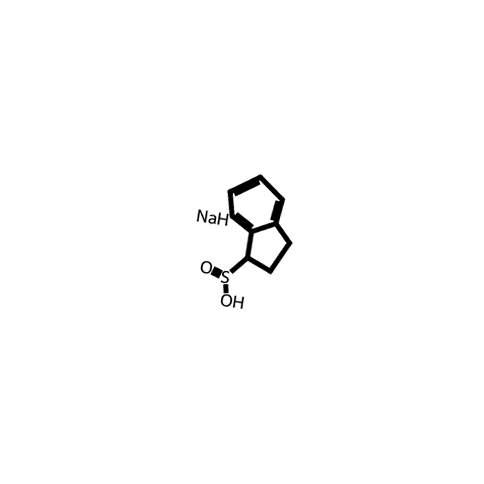 O=S(O)C1CCc2ccccc21.[NaH]